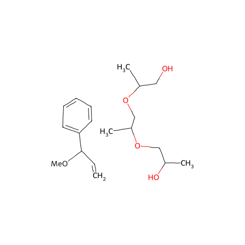 C=CC(OC)c1ccccc1.CC(O)COC(C)COC(C)CO